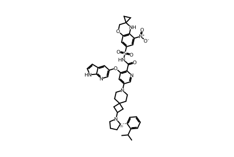 CC(C)c1ccccc1[C@@H]1CCCN1C1CC2(CCN(c3cnc(C(=O)NS(=O)(=O)c4cc5c(c([N+](=O)[O-])c4)NC4(CC4)CO5)c(Oc4cnc5[nH]ccc5c4)c3)CC2)C1